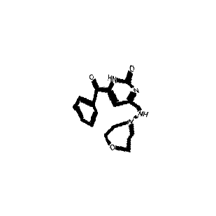 O=C(c1ccccc1)c1cc(NN2CCOCC2)nc(=O)[nH]1